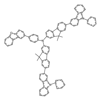 CC1(C)c2cc(-c3ccc4c(c3)c3ccccc3n4-c3ccccc3)ccc2-c2ccc(N(c3ccc(-c4ccc5oc6ccccc6c5c4)cc3)c3ccc4c(c3)C(C)(C)c3cc(-c5ccc6c7ccccc7n(-c7ccccc7)c6c5)ccc3-4)cc21